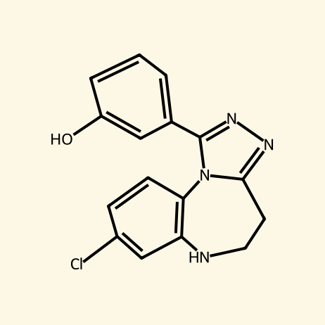 Oc1cccc(-c2nnc3n2-c2ccc(Cl)cc2NCC3)c1